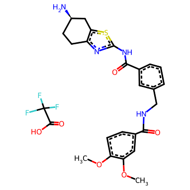 COc1ccc(C(=O)NCc2cccc(C(=O)Nc3nc4c(s3)C[C@H](N)CC4)c2)cc1OC.O=C(O)C(F)(F)F